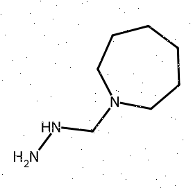 NNCN1CCCCCC1